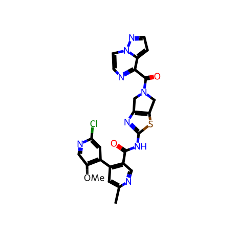 COc1cnc(Cl)cc1-c1cc(C)ncc1C(=O)Nc1nc2c(s1)CN(C(=O)c1nccn3nccc13)C2